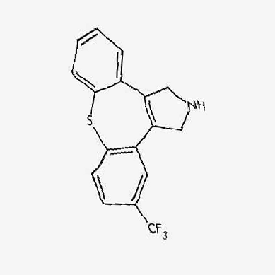 FC(F)(F)c1ccc2c(c1)C1=C(CNC1)c1ccccc1S2